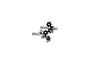 COC(=O)Nc1ccc(-c2cnc3[nH]cc(-c4ccccc4OC)c3c2)cc1C(=O)N1CCC(F)(F)C1